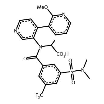 COc1ncccc1-c1ccncc1N(C(=O)c1cc(C(F)(F)F)cc(S(=O)(=O)N(C)C)c1)C(C)C(=O)O